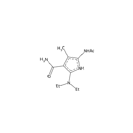 CCN(CC)c1[nH]c(NC(C)=O)c(C)c1C(N)=O